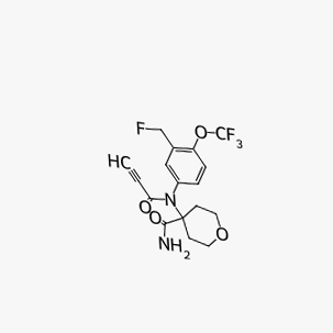 C#CC(=O)N(c1ccc(OC(F)(F)F)c(CF)c1)C1(C(N)=O)CCOCC1